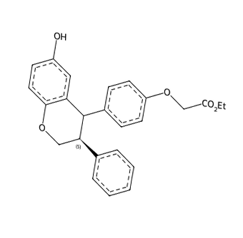 CCOC(=O)COc1ccc(C2c3cc(O)ccc3OC[C@@H]2c2ccccc2)cc1